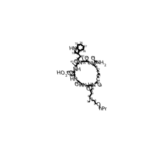 CCCOCCN(C)CCCC[C@@H]1NC(=O)CCSSC[C@@H](C(N)=O)NC(=O)[C@H](C)N(CCc2c[nH]c3ccccc23)C(=O)[C@H](C)NC(=O)[C@H](CC(=O)O)NC(=O)CNC1=O